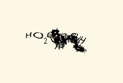 O=C(NC1Cc2cccc(C(=O)O)c2OB1O)C(=NO)c1csc(NCCc2ccccn2)n1